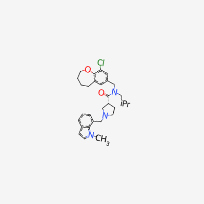 CC(C)CN(Cc1cc(Cl)c2c(c1)CCCCO2)C(=O)[C@@H]1CCN(Cc2cccc3ccn(C)c23)C1